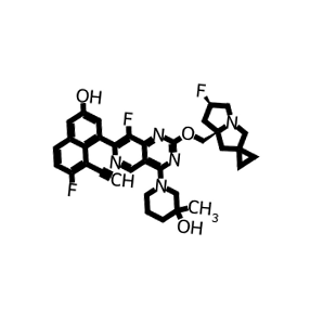 C#Cc1c(F)ccc2cc(O)cc(-c3ncc4c(N5CCCC(C)(O)C5)nc(OC[C@@]56C[C@@H](F)CN5CC5(CC5)C6)nc4c3F)c12